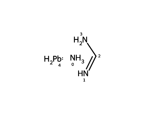 N.N=CN.[PbH2]